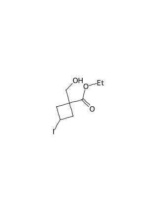 CCOC(=O)C1(CO)CC(I)C1